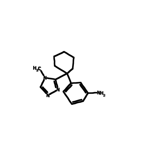 Cn1cnnc1C1(c2cccc(N)c2)CCCCC1